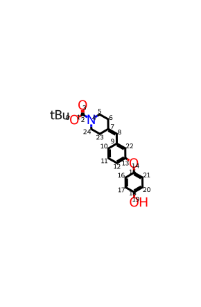 CC(C)(C)OC(=O)N1CCC(=Cc2cccc(Oc3ccc(O)cc3)c2)CC1